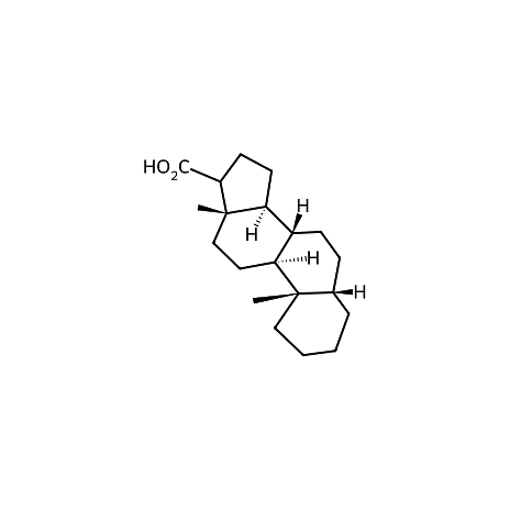 C[C@]12CCCC[C@H]1CC[C@@H]1[C@@H]2CC[C@]2(C)C(C(=O)O)CC[C@@H]12